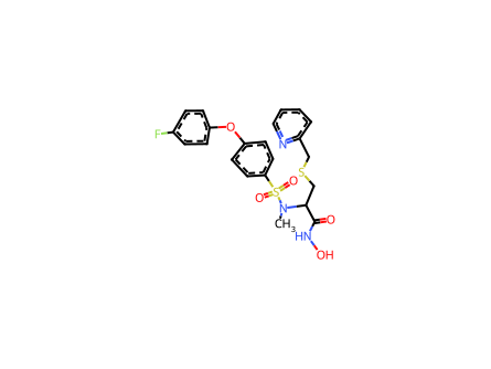 CN(C(CSCc1ccccn1)C(=O)NO)S(=O)(=O)c1ccc(Oc2ccc(F)cc2)cc1